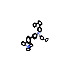 c1ccc(-c2ccc(N(c3ccc(-c4ccc(-c5ccccc5-n5c6ccccc6c6ccccc65)cc4)cc3)c3ccc(-c4ccccc4-c4ccccc4)cc3)cc2)cc1